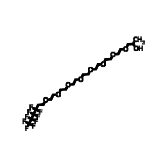 CC(O)COCCOCCOCCOCCOCCOCCOCCOCCC(F)(F)C(F)(F)C(F)(F)C(F)(F)F